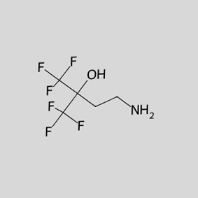 NCCC(O)(C(F)(F)F)C(F)(F)F